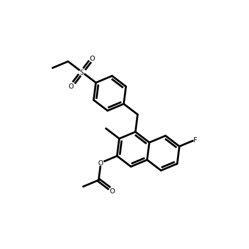 CCS(=O)(=O)c1ccc(Cc2c(C)c(OC(C)=O)cc3ccc(F)cc23)cc1